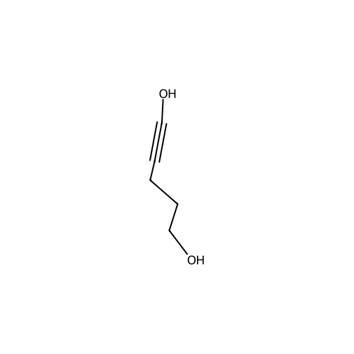 OC#CCCCO